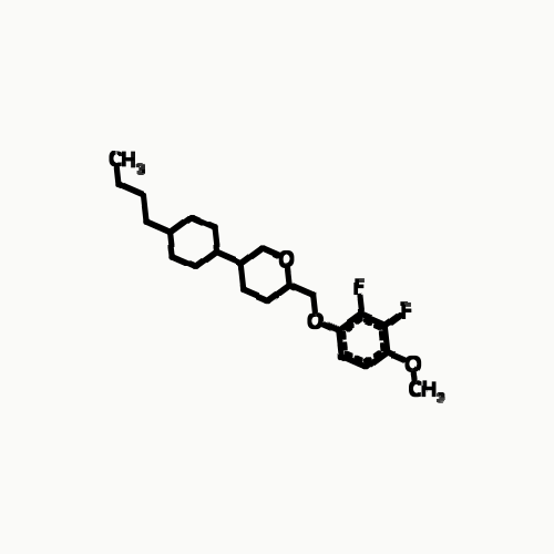 CCCCC1CCC(C2CCC(COc3ccc(OC)c(F)c3F)OC2)CC1